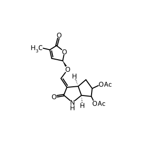 CC(=O)OC1C[C@@H]2/C(=C\O[C@H]3C=C(C)C(=O)O3)C(=O)N[C@@H]2C1OC(C)=O